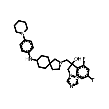 OC(CN1CCC2(CCC(Nc3ccc(N4CCCCC4)cc3)CC2)C1)(Cn1cncn1)c1ccc(F)cc1F